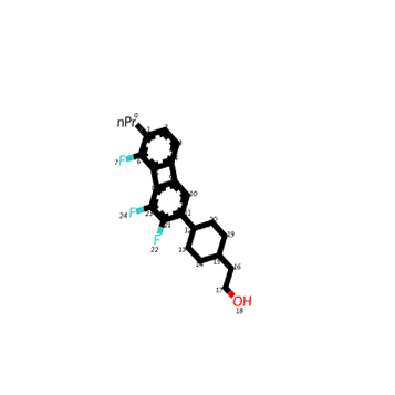 CCCc1ccc2c(c1F)-c1c-2cc(C2CCC(CCO)CC2)c(F)c1F